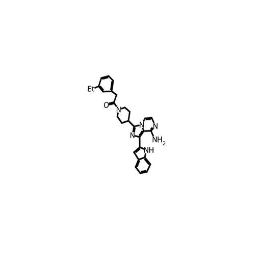 CCc1cccc(CC(=O)N2CCC(c3nc(-c4cc5ccccc5[nH]4)c4c(N)nccn34)CC2)c1